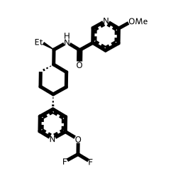 CC[C@@H](NC(=O)c1ccc(OC)nc1)[C@H]1CC[C@@H](c2ccnc(OC(F)F)c2)CC1